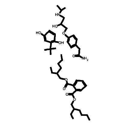 CC(C)(C)c1cc(O)ccc1O.CC(C)NCC(O)COc1ccc(CC(N)=O)cc1.CCCCC(CC)COC(=O)c1ccccc1C(=O)OCC(CC)CCCC